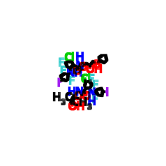 CC(C)(CO)CONC(=O)c1cc(Cl)c(F)c(F)c1Nc1ccc(I)cc1F.O=C(NOCC(O)COc1ccccc1)c1cc(Cl)c(F)c(F)c1Nc1ccc(I)cc1F